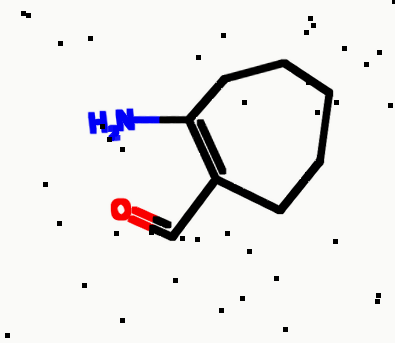 NC1=C(C=O)CCCCC1